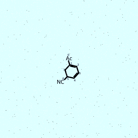 CC(=O)C1=CC=CC(C#N)C1